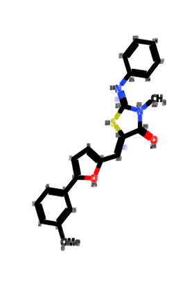 COc1cccc(-c2ccc(/C=C3\S/C(=N/c4ccccc4)N(C)C3=O)o2)c1